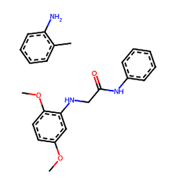 COc1ccc(OC)c(NCC(=O)Nc2ccccc2)c1.Cc1ccccc1N